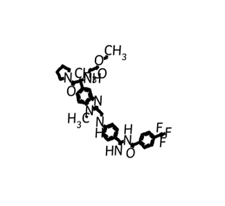 CCOC(=O)CN[C@@](C)(C(=O)N1CCCC1)c1ccc2c(c1)nc(CNc1ccc(C(=N)NC(=O)c3ccc(C(F)(F)F)cc3)cc1)n2C